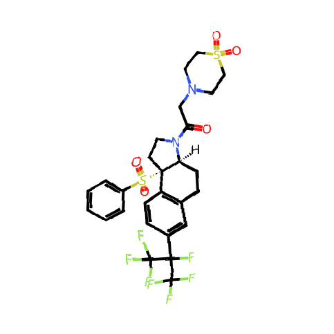 O=C(CN1CCS(=O)(=O)CC1)N1CC[C@]2(S(=O)(=O)c3ccccc3)c3ccc(C(F)(C(F)(F)F)C(F)(F)F)cc3CC[C@H]12